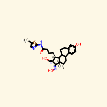 Cc1cnc(NC(=O)CCC[C@@H]2C(=C\O)/C(=N\O)[C@@]3(C)CCC4c5ccc(O)cc5CCC4C23)s1